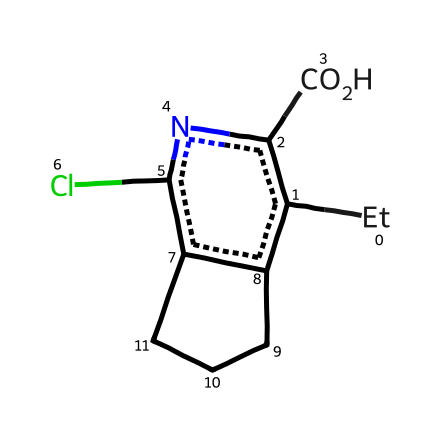 CCc1c(C(=O)O)nc(Cl)c2c1CCC2